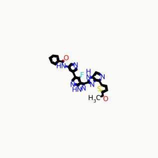 CC(=O)c1ccc(-c2nccc3[nH]c(-c4n[nH]c5ncc(-c6cncc(NC(=O)c7ccccc7)c6)c(F)c45)nc23)s1